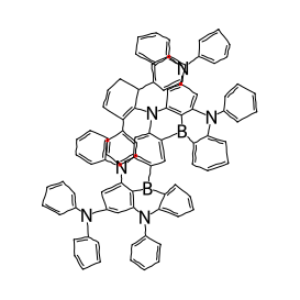 C1=CC(c2ccccc2)=C(N2c3cc4c(cc3B3c5ccccc5N(c5ccccc5)c5cc(N(c6ccccc6)c6ccccc6)cc2c53)B2c3ccccc3N(c3ccccc3)c3cc(N(c5ccccc5)c5ccccc5)cc(c32)N4c2ccccc2)C(c2ccccc2)C1